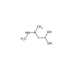 CNN(C)CC(O)O